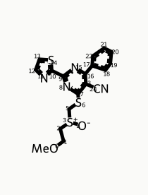 COCC[S+]([O-])CSc1nc(-c2nccs2)nc(-c2ccccc2)c1C#N